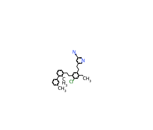 CCc1cc(Cl)c(CCc2cccc(-c3cccc(C)c3)c2C)cc1CCc1cncc(C#N)c1